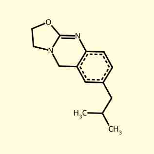 CC(C)Cc1ccc2c(c1)CN1CCOC1=N2